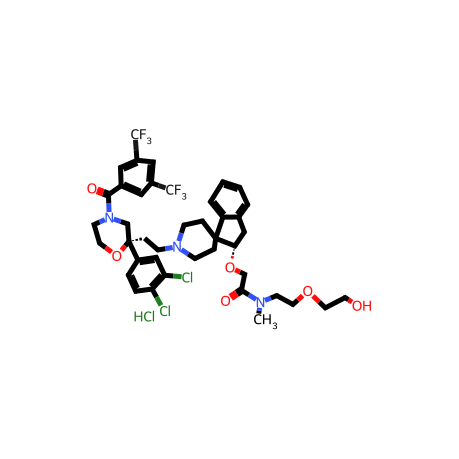 CN(CCOCCO)C(=O)CO[C@H]1Cc2ccccc2C12CCN(CC[C@@]1(c3ccc(Cl)c(Cl)c3)CN(C(=O)c3cc(C(F)(F)F)cc(C(F)(F)F)c3)CCO1)CC2.Cl